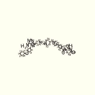 Nc1ncnc2c1c(-c1ccc(Oc3ccccc3)cc1)nn2C1CCN(CCN2CCC(CN3CCN(c4ccc5c(c4)CN(C4CCC(=O)NC4=O)C5=O)CC3)CC2)CC1